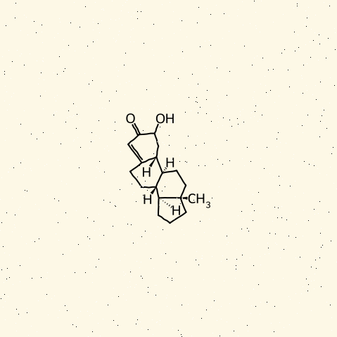 C[C@@]12CCC[C@H]1[C@@H]1CCC3=CC(=O)C(O)C[C@@H]3[C@H]1CC2